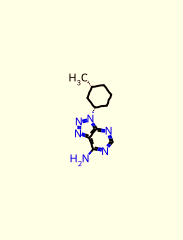 C[C@@H]1CCC[C@H](n2nnc3c(N)ncnc32)C1